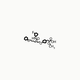 CCOC(Cc1ccc(OCCN(CCCCOc2ccccc2)C(=O)Nc2cccc(F)c2)cc1)C(=O)O